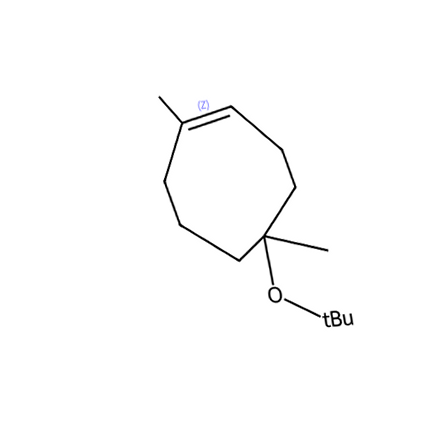 C/C1=C/CCC(C)(OC(C)(C)C)CCC1